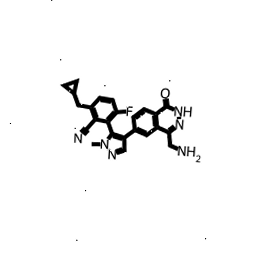 Cn1ncc(-c2ccc3c(=O)[nH]nc(CN)c3c2)c1-c1c(F)ccc(CC2CC2)c1C#N